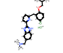 CC(C)COc1ccc(Cl)cc1Cc1cccc(-c2nc3cc(CN(C)C)ccc3[nH]2)n1.Cl